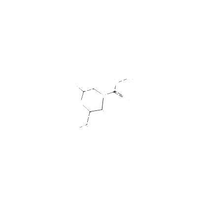 CC1CN(C(=O)OC(C)(C)C)CC(CO)O1